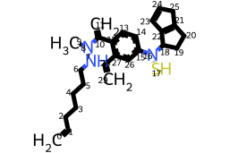 C=CCCCCCNN(C)C(=C)c1ccc(N(S)C2CCC3=C2C=CC3)cc1C=C